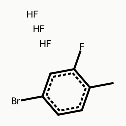 Cc1ccc(Br)cc1F.F.F.F